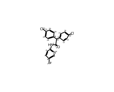 O=C(Nc1ccc(Br)cn1)C(c1ccc(Cl)cc1)c1ccc(Cl)cc1